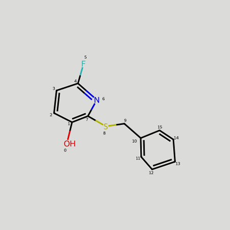 Oc1ccc(F)nc1SCc1ccccc1